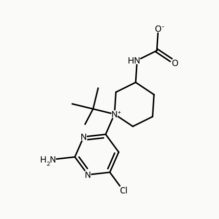 CC(C)(C)[N+]1(c2cc(Cl)nc(N)n2)CCCC(NC(=O)[O-])C1